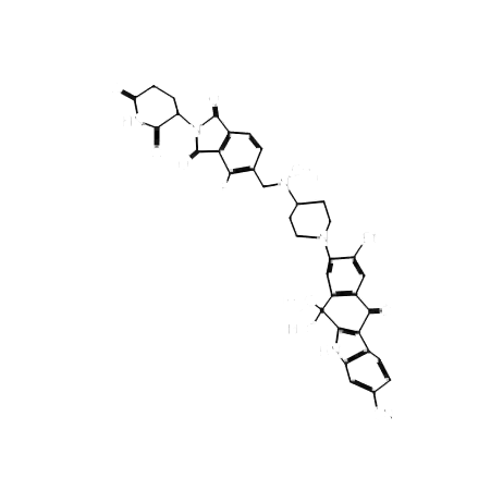 CCc1cc2c(cc1N1CCC(N(C)Cc3ccc4c(c3F)C(=O)N(C3CCC(=O)NC3=O)C4=O)CC1)C(C)(C)c1[nH]c3cc(C#N)ccc3c1C2=O